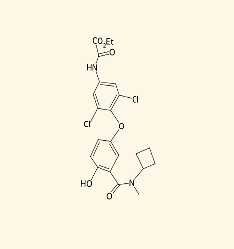 CCOC(=O)C(=O)Nc1cc(Cl)c(Oc2ccc(O)c(C(=O)N(C)C3CCC3)c2)c(Cl)c1